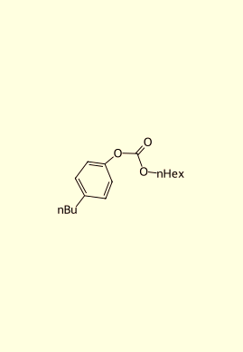 CCCCCCOC(=O)Oc1ccc(CCCC)cc1